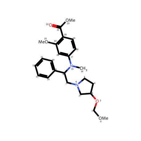 COCOC1CCN(CC(c2ccccc2)N(C)c2ccc(C(=O)OC)c(OC)c2)C1